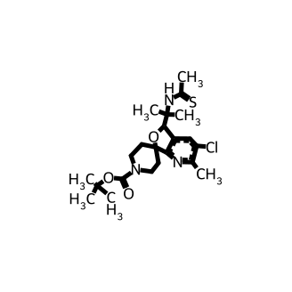 CC(=S)NC(C)(C)C1OC2(CCN(C(=O)OC(C)(C)C)CC2)c2nc(C)c(Cl)cc21